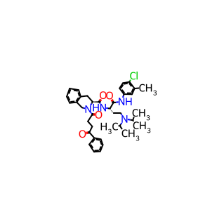 Cc1cc(NC(=O)[C@H](CCN(C(C)C)C(C)C)NC(=O)[C@@H]2Cc3ccccc3CN2C(=O)CCC(=O)c2ccccc2)ccc1Cl